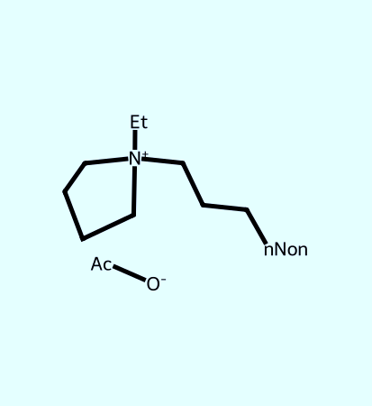 CC(=O)[O-].CCCCCCCCCCCC[N+]1(CC)CCCC1